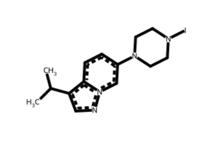 CC(C)c1cnn2cc(N3CCN(I)CC3)ccc12